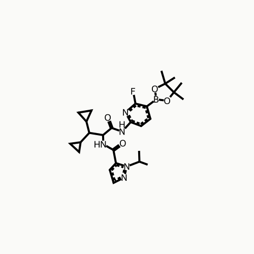 CC(C)n1nccc1C(=O)NC(C(=O)Nc1ccc(B2OC(C)(C)C(C)(C)O2)c(F)n1)C(C1CC1)C1CC1